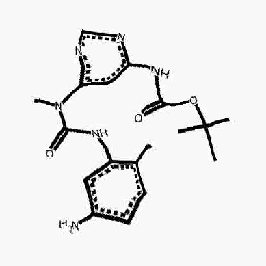 Cc1ccc(N)cc1NC(=O)N(C)c1cc(NC(=O)OC(C)(C)C)ncn1